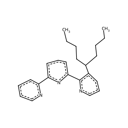 CCCCC(CCCC)c1cccnc1-c1cccc(-c2ccccn2)n1